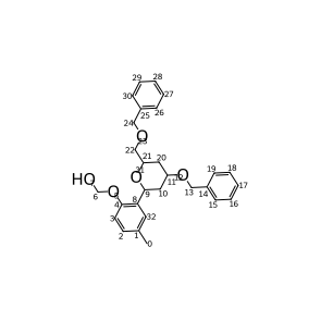 Cc1ccc(OCO)c(C2CC(OCc3ccccc3)CC(COCc3ccccc3)O2)c1